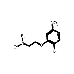 CCN(CC)CCOc1cc([N+](=O)[O-])ccc1Br